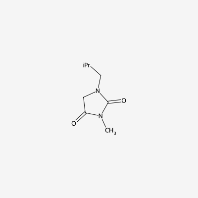 CC(C)CN1CC(=O)N(C)C1=O